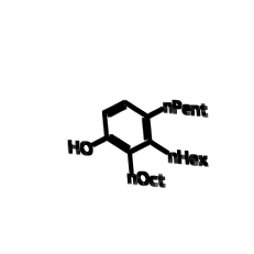 CCCCCCCCc1c(O)ccc(CCCCC)c1CCCCCC